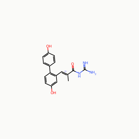 C/C(=C\c1cc(O)ccc1-c1ccc(O)cc1)C(=O)NC(=N)N